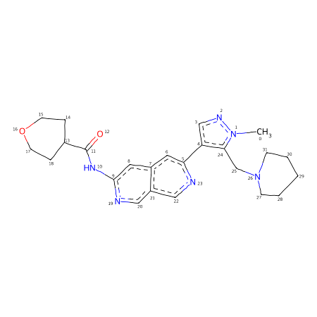 Cn1ncc(-c2cc3cc(NC(=O)C4CCOCC4)ncc3cn2)c1CN1CCCCC1